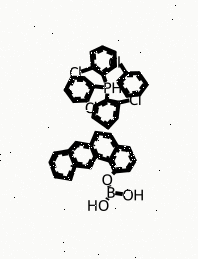 Clc1ccccc1[PH](c1ccccc1Cl)(c1ccccc1Cl)c1ccccc1Cl.OB(O)Oc1cccc2ccc3cc4ccccc4cc3c12